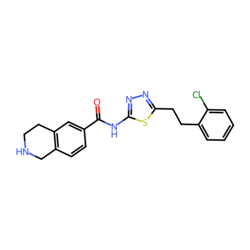 O=C(Nc1nnc(CCc2ccccc2Cl)s1)c1ccc2c(c1)CCNC2